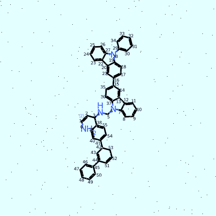 N/C=C\C(NCn1c2ccccc2c2cc(-c3ccc4c(c3)c3ccccc3n4-c3ccccc3)ccc21)c1ccc(C2C=C(c3ccccc3)C=CC2)cc1